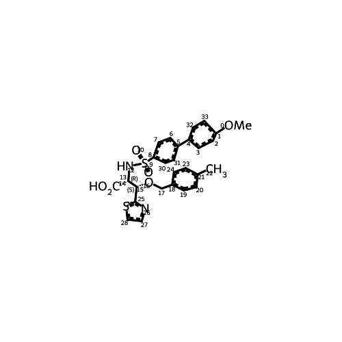 COc1ccc(-c2ccc(S(=O)(=O)N[C@@H](C(=O)O)[C@H](OCc3ccc(C)cc3)c3nccs3)cc2)cc1